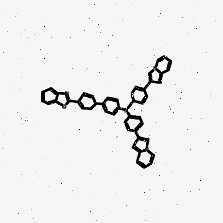 C1=CC(N(c2ccc(-c3cc4ccccn4c3)cc2)c2ccc(C3C=CC(c4nc5ccccc5o4)=CC3)cc2)CC=C1c1cc2ccccn2c1